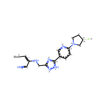 CN/C=C(\C=N)NCc1n[nH]c(-c2ccc(N3CC[C@H](F)C3)nc2)n1